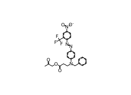 CC(=O)COC(=O)CCN(Cc1ccccc1)c1ccc(/N=N/c2ccc([N+](=O)[O-])cc2C(F)(F)F)cc1